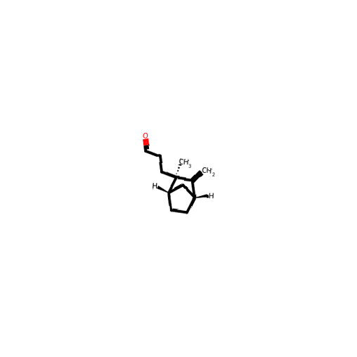 C=C1[C@@H]2CC[C@@H](C2)[C@@]1(C)CCC=O